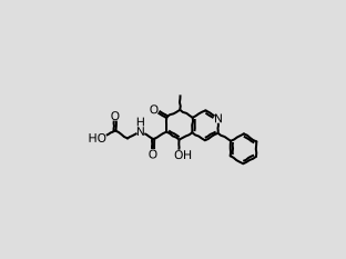 CC1C(=O)C(C(=O)NCC(=O)O)=C(O)c2cc(-c3ccccc3)ncc21